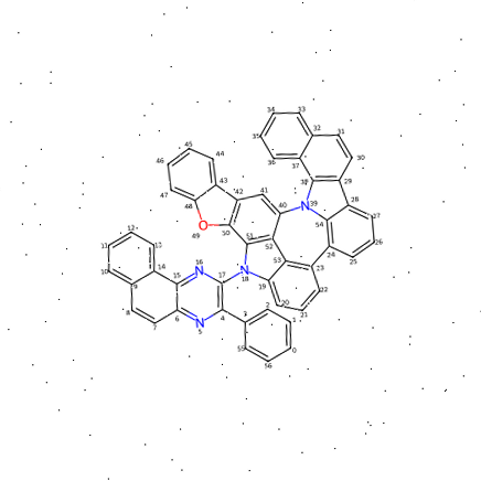 c1ccc(-c2nc3ccc4ccccc4c3nc2-n2c3cccc4c5cccc6c7ccc8ccccc8c7n(c7cc8c9ccccc9oc8c2c7c43)c56)cc1